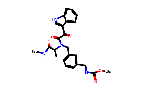 CC(C(=O)NC(C)(C)C)N(Cc1cccc(CNC(=O)OC(C)(C)C)c1)C(=O)C(=O)c1c[nH]c2ccccc12